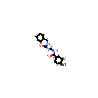 O=C(Nc1nc(=O)n(Cc2ccc(F)cc2)s1)c1ccc(Cl)c(Cl)c1